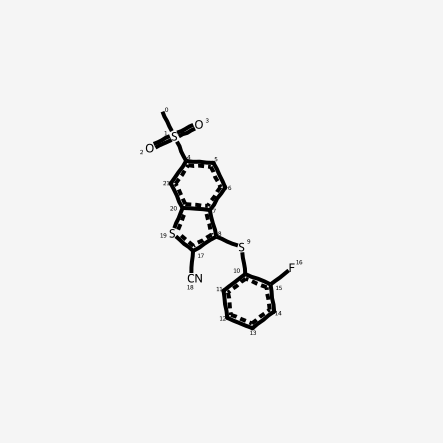 CS(=O)(=O)c1ccc2c(Sc3ccccc3F)c(C#N)sc2c1